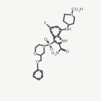 NC(=O)c1[nH]c2c(NC3CCN(C(=O)O)CC3)cc(F)cc2c1S(=O)(=O)N1CCOC(COc2ccccc2)C1